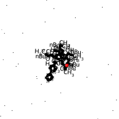 CCCCC(C)(C)C(O)C=CC1(OC(=O)c2ccc(-c3ccccc3)cc2)CC2(C=CC(O)C(C)(C)CCCC)OC(=O)CC2(C=CC(O)C(C)(C)CCCC)C1(C=CC(O)C(C)(C)CCCC)C=CC(O)C(C)(C)CCCC